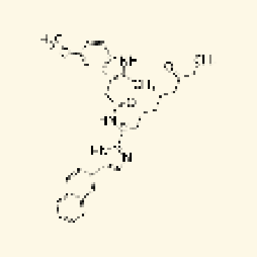 CCC(=O)CCCCC[C@@H](NC(=O)Cc1c(C)[nH]c2ccc(OC)cc12)c1ncc(-c2ccc3ccccc3c2)[nH]1